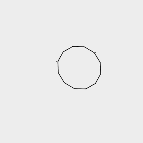 [CH]1CCC[CH]CCCCCCC1